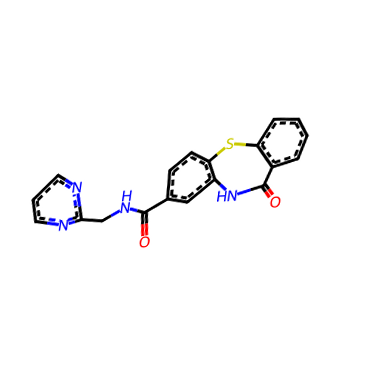 O=C(NCc1ncccn1)c1ccc2c(c1)NC(=O)c1ccccc1S2